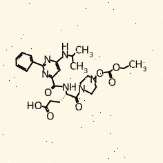 CCOC(=O)ON1CCN(C(=O)[C@H](CCC(=O)O)NC(=O)c2cc(NC(C)C)nc(-c3ccccc3)n2)CC1